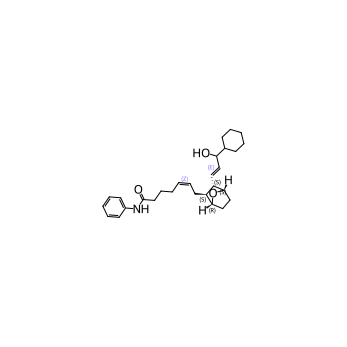 O=C(CCC/C=C\C[C@H]1[C@H](/C=C/C(O)C2CCCCC2)[C@@H]2CC[C@H]1O2)Nc1ccccc1